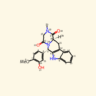 COc1ccc([C@H]2c3[nH]c4ccccc4c3C[C@@H]3C(=O)N(C)CC(=O)N23)cc1O